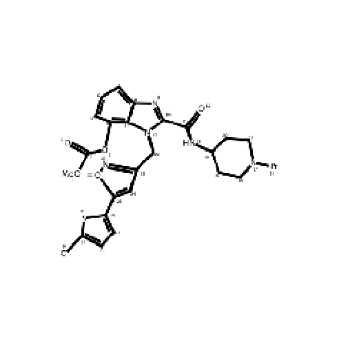 COC(=O)Oc1cccc2nc(C(=O)NC3CCN(C(C)C)CC3)n(Cc3cc(-c4ccc(Cl)s4)on3)c12